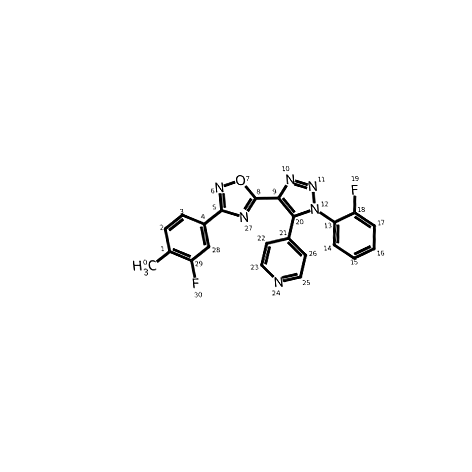 Cc1ccc(-c2noc(-c3nnn(-c4ccccc4F)c3-c3ccncc3)n2)cc1F